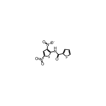 O=C(Nc1sc([N+](=O)[O-])cc1[N+](=O)[O-])c1cccs1